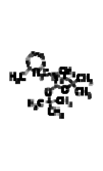 CN(C)C(OC(C)(C)C)OC(C)(C)C.Cc1ccccc1